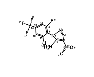 Nc1c([N+](=O)[O-])cnn1-c1c(F)cc(C(F)(F)F)cc1Cl